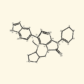 COC1COCC1Cn1c(=O)n(C2=CCCCC2)c2ncc(-c3cnc4[nH]ccc4c3)cc21